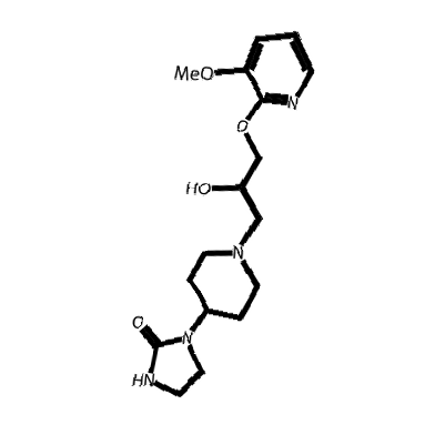 COc1cccnc1OCC(O)CN1CCC(N2CCNC2=O)CC1